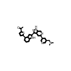 CC(=O)c1ccc(-c2cccc3[nH]c(-c4n[nH]c5cnc(-c6cncc(CN(C)C)c6)cc45)cc23)s1